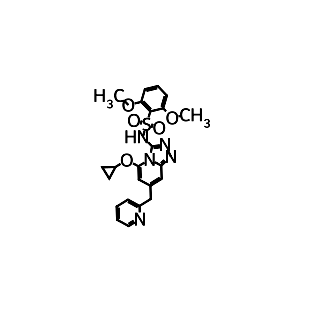 COc1cccc(OC)c1S(=O)(=O)Nc1nnc2cc(Cc3ccccn3)cc(OC3CC3)n12